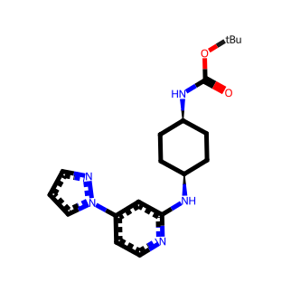 CC(C)(C)OC(=O)N[C@H]1CC[C@@H](Nc2cc(-n3cccn3)ccn2)CC1